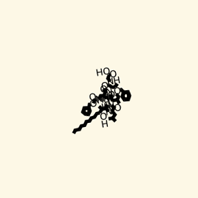 CCCCCCCCCCC(O)C(C)C(=O)N(C)C(CC(C)C)C(=O)NC(C(=O)NC(CNC(=O)OCc1ccccc1)C(=O)NC(C(=O)NCC(=O)O)C(C)OCc1ccccc1)C(C)CC